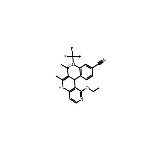 CCOc1nccc2c1C(c1ccc(C#N)cc1OC(F)(F)F)C(C(C)=O)=C(C)N2